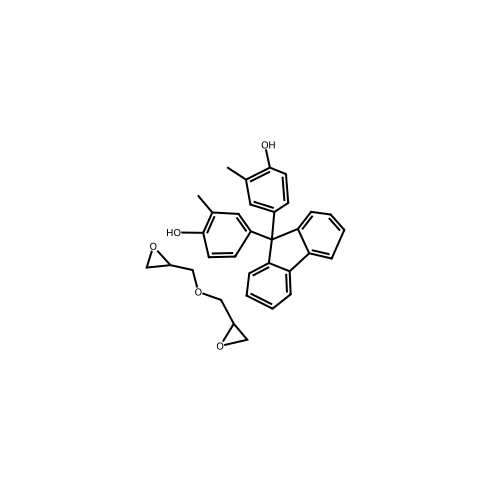 C(OCC1CO1)C1CO1.Cc1cc(C2(c3ccc(O)c(C)c3)c3ccccc3-c3ccccc32)ccc1O